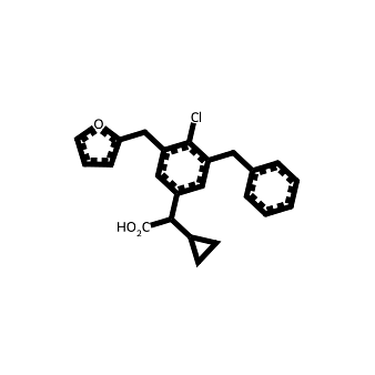 O=C(O)C(c1cc(Cc2ccccc2)c(Cl)c(Cc2ccco2)c1)C1CC1